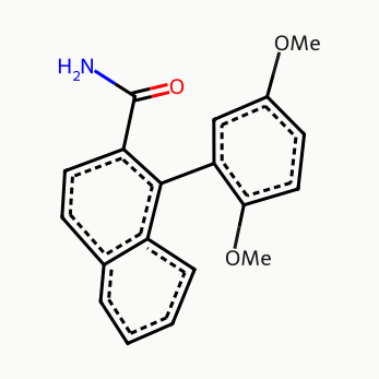 COc1ccc(OC)c(-c2c(C(N)=O)ccc3ccccc23)c1